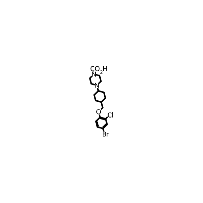 O=C(O)N1CCN(C2CCC(COc3ccc(Br)cc3Cl)CC2)CC1